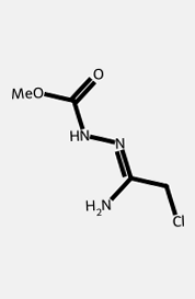 COC(=O)N/N=C(\N)CCl